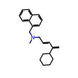 C=C(/C=C/CN(C)Cc1cccc2ccccc12)C1CCCCC1